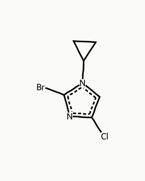 Clc1cn(C2CC2)c(Br)n1